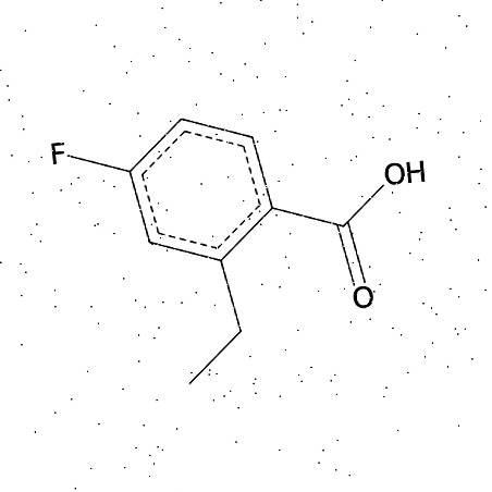 CCc1cc(F)ccc1C(=O)O